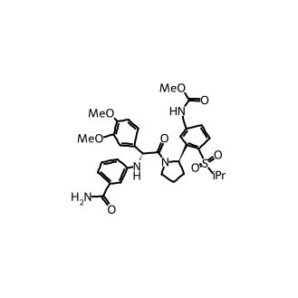 COC(=O)Nc1ccc(S(=O)(=O)C(C)C)c([C@H]2CCCN2C(=O)[C@H](Nc2cccc(C(N)=O)c2)c2ccc(OC)c(OC)c2)c1